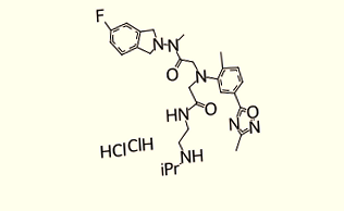 Cc1noc(-c2ccc(C)c(N(CC(=O)NCCNC(C)C)CC(=O)N(C)N3Cc4ccc(F)cc4C3)c2)n1.Cl.Cl